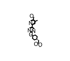 COC(=O)C[C@H]1CC[C@@H](Oc2ncc(-c3cc(C)c(C=O)cn3)cn2)CC1